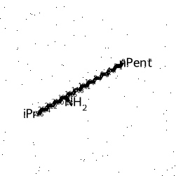 CCCCCC=CCC=CCCCCCCCCCCCC(N)CCCCCCCCC(C)C